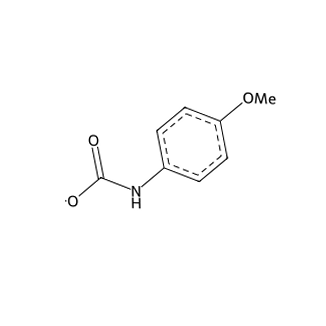 COc1ccc(NC([O])=O)cc1